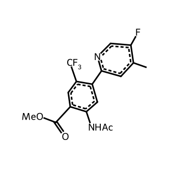 COC(=O)c1cc(C(F)(F)F)c(-c2cc(C)c(F)cn2)cc1NC(C)=O